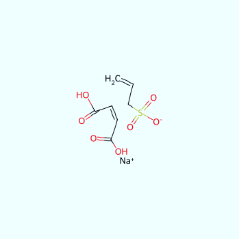 C=CCS(=O)(=O)[O-].O=C(O)/C=C\C(=O)O.[Na+]